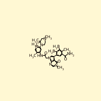 Bc1c(-c2cn(CC(=O)Nc3cc(N4CCN(C)CC4(C)C)ncc3C)c3ncn(C)c(=O)c23)cc(C(N)=O)c(C)c1B